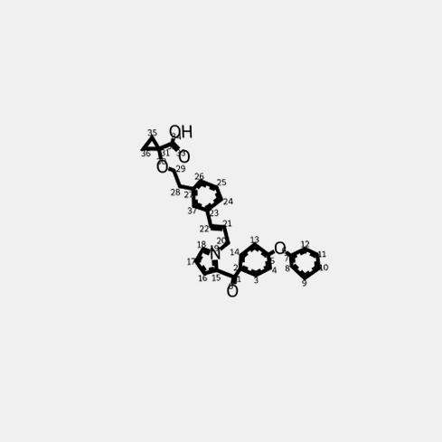 O=C(c1ccc(Oc2ccccc2)cc1)c1cccn1C/C=C/c1cccc(CCOC2(C(=O)O)CC2)c1